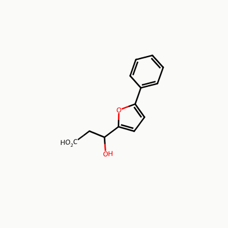 O=C(O)CC(O)c1ccc(-c2ccccc2)o1